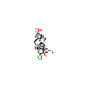 C[C@]12CC[C@H](O)CC1=CC[C@@H]1[C@@H]2CC[C@]2(C)C(=O)C(Cl)C[C@@H]12